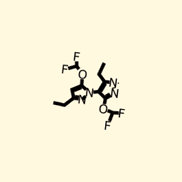 CCC1=C(n2nc(CC)cc2OC(F)F)C(OC(F)F)=N[N]1